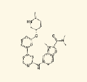 C=C1CC[C@H](Oc2ccnc(-c3ccnc(Nc4ccc5cc(C(=O)N(C)C)n(C)c5c4)n3)c2)CN1